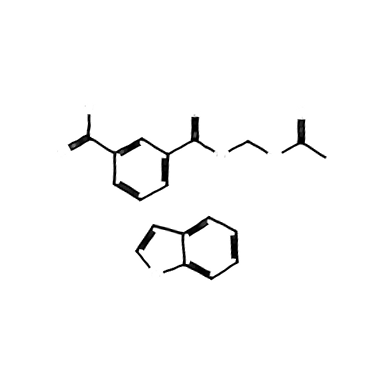 CC(=O)OCOC(=O)c1cccc(C(=O)O)c1.c1ccc2occc2c1